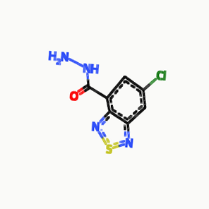 NNC(=O)c1cc(Cl)cc2nsnc12